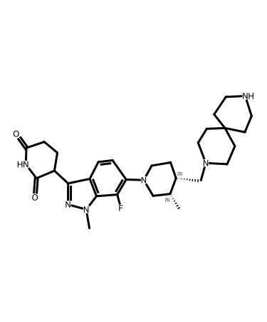 C[C@@H]1CN(c2ccc3c(C4CCC(=O)NC4=O)nn(C)c3c2F)CC[C@@H]1CN1CCC2(CCNCC2)CC1